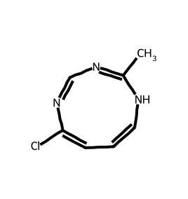 Cc1ncnc(Cl)ccc[nH]1